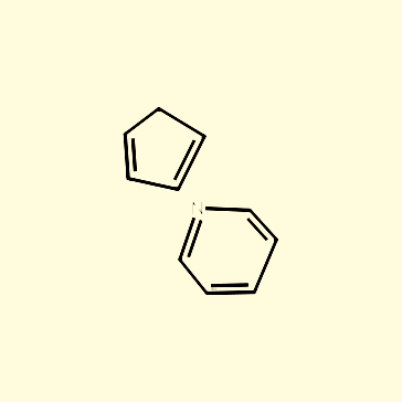 C1=CCC=C1.c1ccncc1